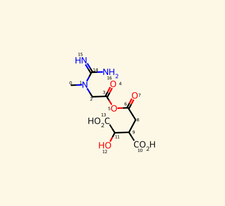 CN(CC(=O)OC(=O)CC(C(=O)O)C(O)C(=O)O)C(=N)N